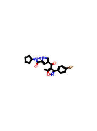 Cc1onc(-c2ccc(Br)cc2)c1C(=O)C1C=C(C(=O)NC2CCCC2)NC1